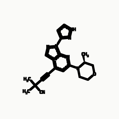 C[C@@H]1COCCN1c1cc(C#CC(C)(C)C#N)c2cnn(-c3cc[nH]n3)c2n1